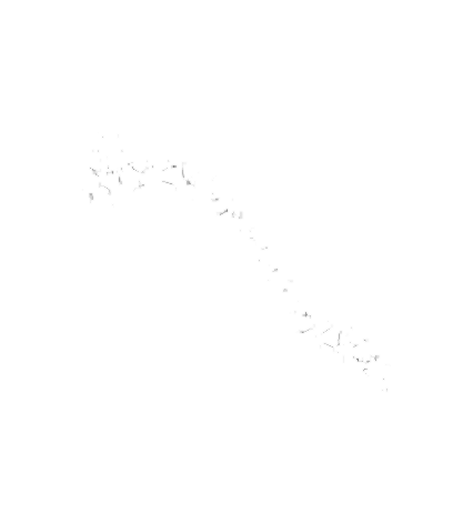 CC(=O)c1c(C)c2cnc(Nc3ccc(N4CCN(CC(=O)NCCOCCOCCOCCNC(=O)c5ccc(C(=O)NC6=NCC(C)S6)c(C)c5)CC4)cn3)nc2n(C2CCCC2)c1=O